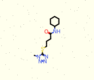 Cn1nnnc1SCCCC(=O)NC1CCCCC1